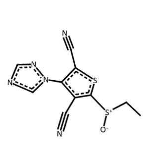 CC[S+]([O-])c1sc(C#N)c(-n2cncn2)c1C#N